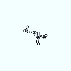 c1ccc(-n2c3ccccc3c3ccc(-c4ccc5oc6cc(C7=NC(c8ccc9ccccc9c8)=NC(c8ccc9c(c8)oc8ccccc89)N7)ccc6c5c4)cc32)cc1